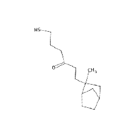 CC1(CCC(=O)CCCS)CC2CCC1C2